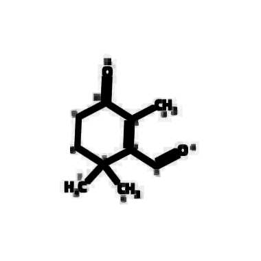 CC1=C(C=O)C(C)(C)CCC1=O